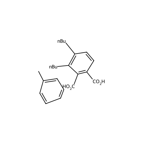 CCCCc1ccc(C(=O)O)c(C(=O)O)c1CCCC.Cc1ccccc1